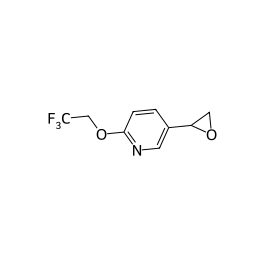 FC(F)(F)COc1ccc(C2CO2)cn1